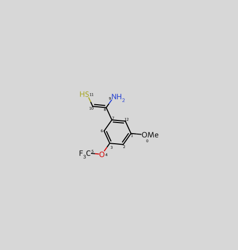 COc1cc(OC(F)(F)F)cc(/C(N)=C/S)c1